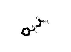 C[C@@H](NCC(N)=O)c1ccccc1